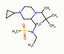 CCN(CC1CN(C2CC2)CCN1C(C)C(C)(C)C)S(C)(=O)=O